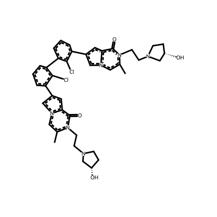 Cc1cn2cc(-c3cccc(-c4cccc(-c5cc6c(=O)n(CCN7CC[C@H](O)C7)c(C)cn6c5)c4Cl)c3Cl)cc2c(=O)n1CCN1CC[C@H](O)C1